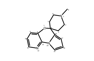 CN1CCC2(CC1)Oc1cccnc1-n1cccc12